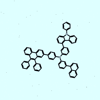 c1ccc(-c2c(-c3ccccc3)c3cc(-c4ccc(N(c5cccc(-c6cccc7ccccc67)c5)c5cccc(-c6cccc7c6c6ccccc6n7-c6ccccc6)c5)cc4)ccc3c3ccccc23)cc1